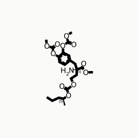 CCC[C@H](C)OC(=O)OCC[C@@](N)(Cc1ccc(OC(=O)OC)c(OC(=O)OC)c1)C(=O)OC